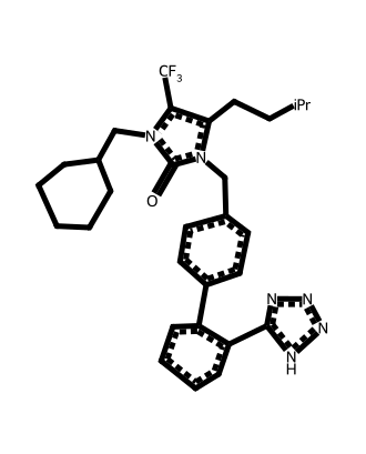 CC(C)CCc1c(C(F)(F)F)n(CC2CCCCC2)c(=O)n1Cc1ccc(-c2ccccc2-c2nnn[nH]2)cc1